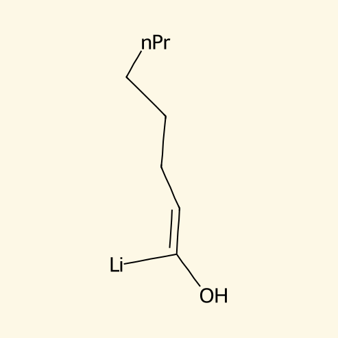 [Li]/[C](O)=C\CCCCCC